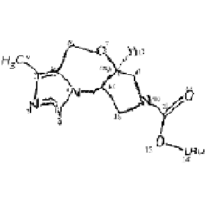 Cc1nnn2c1CO[C@H]1CN(C(=O)OC(C)(C)C)CC12